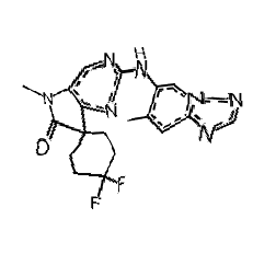 Cc1cc2ncnn2cc1Nc1ncc2c(n1)C1(CCC(F)(F)CC1)C(=O)N2C